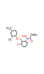 CCc1cc(C)ccc1OCc1c(I)cccc1N(O)C(=O)OC